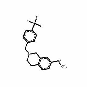 CNc1ccc2c(c1)CN(Cc1ccc(C(F)(F)F)cc1)CC2